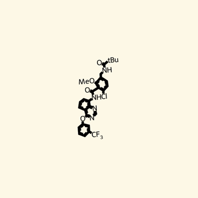 COc1c(CNC(=O)C(C)(C)C)ccc(Cl)c1C(=O)Nc1cccc2c(Oc3cccc(C(F)(F)F)c3)ncnc12